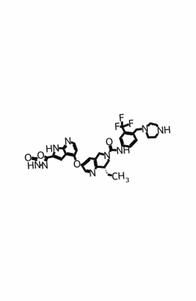 CC[C@H]1CN(C(=O)Nc2ccc(CN3CCNCC3)c(C(F)(F)F)c2)Cc2cc(Oc3ccnc4[nH]c(-c5n[nH]c(=O)o5)cc34)cnc21